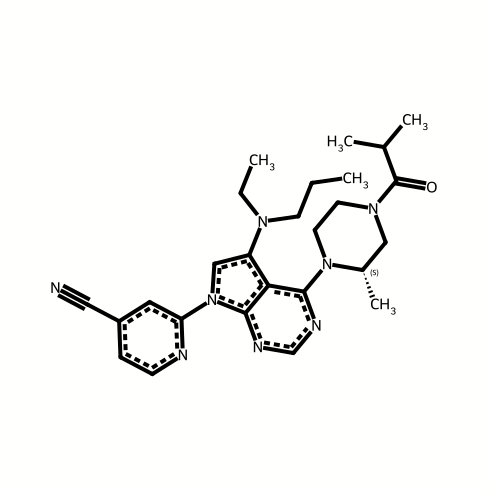 CCCN(CC)c1cn(-c2cc(C#N)ccn2)c2ncnc(N3CCN(C(=O)C(C)C)C[C@@H]3C)c12